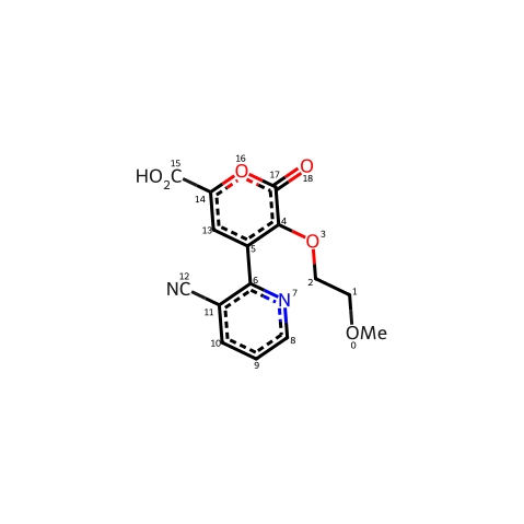 COCCOc1c(-c2ncccc2C#N)cc(C(=O)O)oc1=O